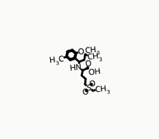 CCS(=O)(=O)CCCC(NC1CC(C)(C)Oc2ccc(C)cc21)C(=O)O